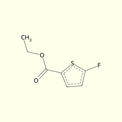 CCOC(=O)c1ccc(F)s1